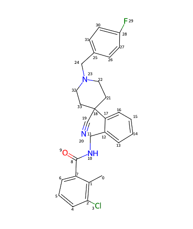 Cc1c(Cl)cccc1C(=O)NCc1ccccc1C1(C#N)CCN(Cc2ccc(F)cc2)CC1